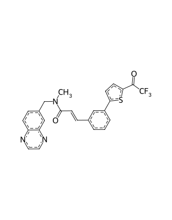 CN(Cc1ccc2nccnc2c1)C(=O)C=Cc1cccc(-c2ccc(C(=O)C(F)(F)F)s2)c1